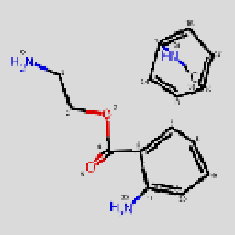 NCCOC(=O)c1ccccc1N.c1cc2ccc1CN2